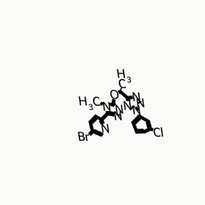 C[C@@H](Oc1nnc(-c2ccc(Br)cn2)n1C)c1nnn(-c2cccc(Cl)c2)n1